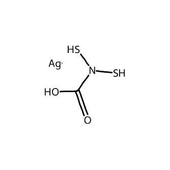 O=C(O)N(S)S.[Ag]